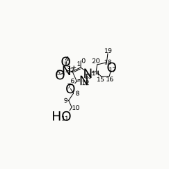 Cc1c([N+](=O)[O-])c(OCCCO)nn1C1CCOC(C)C1